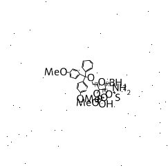 B[C@@H]1O[C@H](COC(c2ccccc2)(c2ccc(OC)cc2)c2ccc(OC)cc2)C(OP(=O)(O)OC)[C@@H]1OC(N)=S